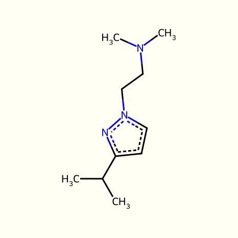 CC(C)c1ccn(CCN(C)C)n1